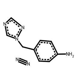 N#N.Nc1ccc(Cn2cncn2)cc1